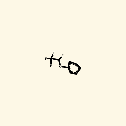 FC(Oc1c[c]ccc1)C(F)(F)F